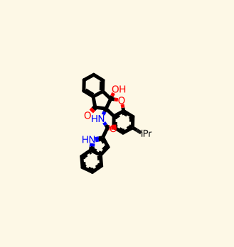 CC(C)c1ccc2c(c1)OC1(O)C3=CCCC=C3C(=O)C21NC(=O)c1cc2ccccc2[nH]1